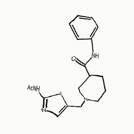 CC(=O)Nc1ncc(CN2CCCC(C(=O)Nc3ccccc3)C2)s1